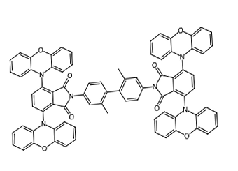 Cc1cc(N2C(=O)c3c(N4c5ccccc5Oc5ccccc54)ccc(N4c5ccccc5Oc5ccccc54)c3C2=O)ccc1-c1ccc(N2C(=O)c3c(N4c5ccccc5Oc5ccccc54)ccc(N4c5ccccc5Oc5ccccc54)c3C2=O)cc1C